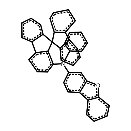 c1ccc(N(c2ccc3c(c2)oc2ccccc23)c2cccc3c2C2(c4ccccc4-c4ccccc42)c2ccccc2-3)cc1